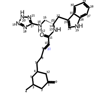 C=C1CC(C)CC(CC/C=C/C(=O)N[C@H](CNc2nn[nH]n2)Cc2c[nH]c3ccccc23)C1